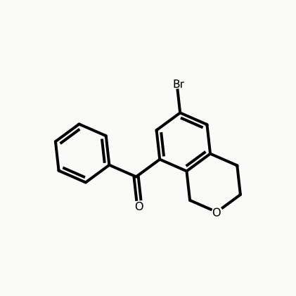 O=C(c1ccccc1)c1cc(Br)cc2c1COCC2